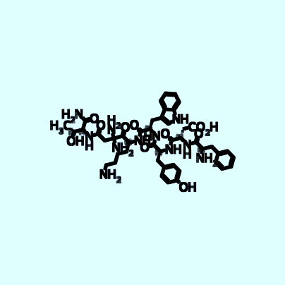 C[C@@H](O)[C@H](NC(=O)CC(N)(N)C(=O)[C@H](CCCCN)NC(=O)[C@@H](Cc1c[nH]c2ccccc12)NC(=O)[C@H](Cc1ccc(O)cc1)NC(=O)[C@H](CC(=O)O)NC(=O)[C@H](N)Cc1ccccc1)C(N)=O